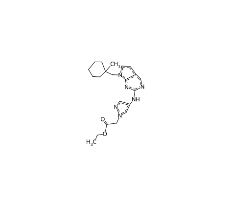 CCOC(=O)Cn1cc(Nc2ncc3ccn(CC4(C)CCCCC4)c3n2)cn1